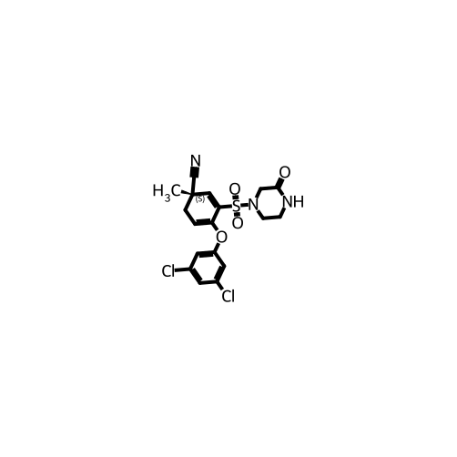 C[C@@]1(C#N)C=C(S(=O)(=O)N2CCNC(=O)C2)C(Oc2cc(Cl)cc(Cl)c2)=CC1